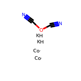 N#COC#N.[Co].[Co].[KH].[KH]